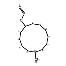 O=POC1CCCCCCC(O)CCCC1